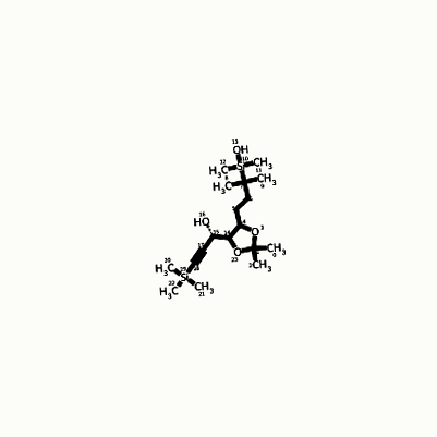 CC1(C)OC(CCC(C)(C)[Si](C)(C)O)C([C@@H](O)C#C[Si](C)(C)C)O1